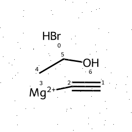 Br.C#[C][Mg+2].CCO